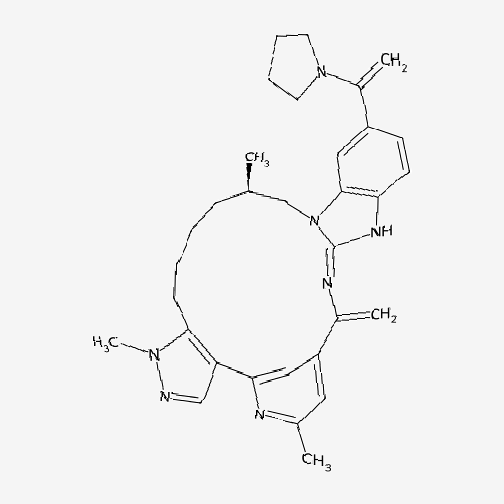 C=C1/N=C2\Nc3ccc(C(=C)N4CCCC4)cc3N2C[C@H](C)CCCCc2c(cnn2C)-c2cc1cc(C)n2